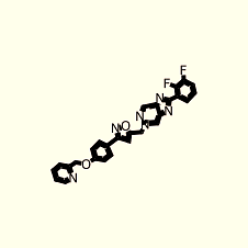 Fc1cccc(-c2nc3cnn(Cc4cc(-c5ccc(OCc6ccccn6)cc5)no4)cc-3n2)c1F